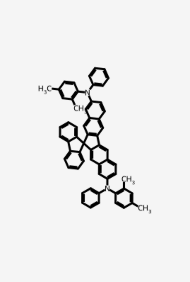 Cc1ccc(N(c2ccccc2)c2ccc3cc4c(cc3c2)C2(c3ccccc3-c3ccccc32)c2cc3cc(N(c5ccccc5)c5ccc(C)cc5C)ccc3cc2-4)c(C)c1